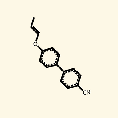 CC=COc1ccc(-c2ccc(C#N)cc2)cc1